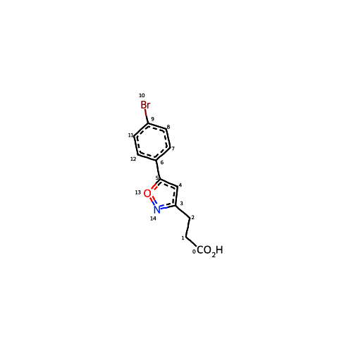 O=C(O)CCc1cc(-c2ccc(Br)cc2)on1